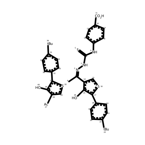 CC(=NNC(=S)Nc1ccc(C(=O)O)cc1)c1csc(-c2ccc(C(C)(C)C)cc2)c1O.CC(=O)c1csc(-c2ccc(C(C)(C)C)cc2)c1O